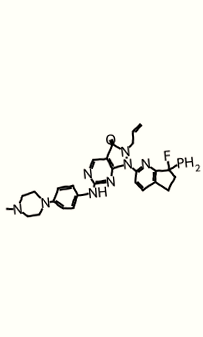 C=CCn1c(=O)c2cnc(Nc3ccc(N4CCN(C)CC4)cc3)nc2n1-c1ccc2c(n1)C(F)(P)CC2